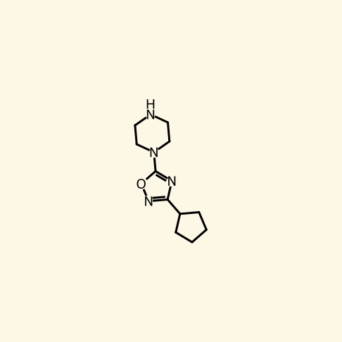 C1CCC(c2noc(N3CCNCC3)n2)C1